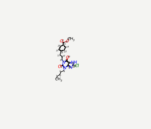 CCCCCn1c(=O)n(CCCc2ccc(C(=O)OC)cc2)c(=O)c2[nH]c(Cl)nc21